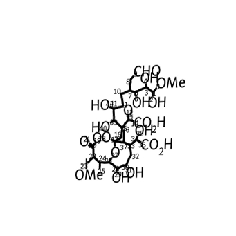 COC(O)C(O)C(O)C(CC=O)CC1OC(C(=O)O)C(CC23OOC(=O)C(I)C(OC)C(O2)C(O)C(O)CC(C(O)C(=O)O)C3C)C(O)C1O